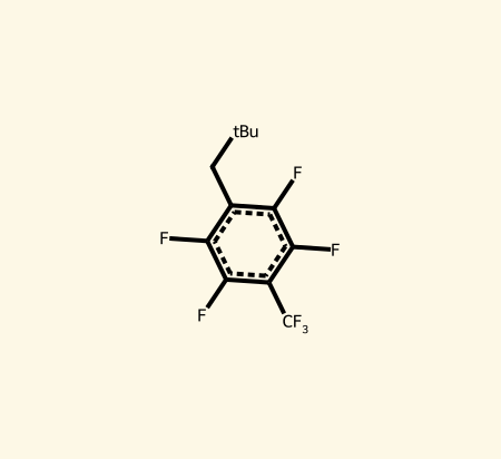 CC(C)(C)Cc1c(F)c(F)c(C(F)(F)F)c(F)c1F